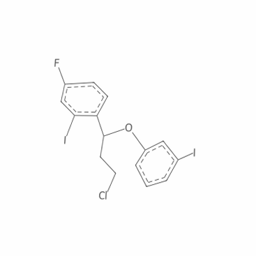 Fc1ccc(C(CCCl)Oc2cccc(I)c2)c(I)c1